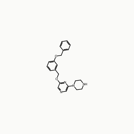 c1ccc(COc2cccc(COc3cncc(N4CCNCC4)n3)c2)cc1